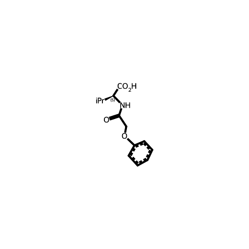 CC(C)[C@H](NC(=O)COc1ccccc1)C(=O)O